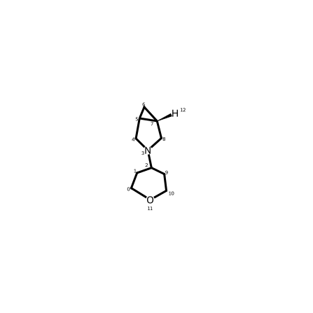 C1CC(N2CC3C[C@@H]3C2)CCO1